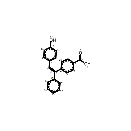 O=C(O)c1ccc(/C(=C\c2ccc(O)cc2)c2ccccc2)cc1